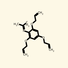 C=CCOc1cc(OCC=C)c(N=C(C)C)c(OCC=C)c1